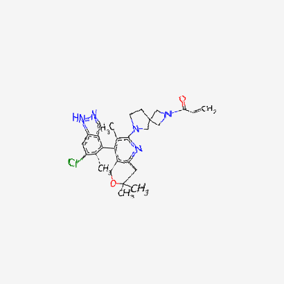 C=CC(=O)N1CC2(CCN(c3nc4c(c(-c5c(C)c(Cl)cc6[nH]ncc56)c3C)COC(C)(C)C4)C2)C1